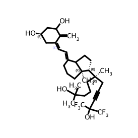 C=C1/C(=C\C=C2CCC[C@@]3(C)C2CC[C@@H]3[C@@](C)(CC#CC(O)(C(F)(F)F)C(F)(F)F)CCCC(C)(C)O)C[C@@H](O)CC1O